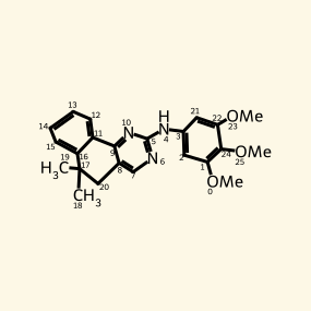 COc1cc(Nc2ncc3c(n2)-c2ccccc2C(C)(C)C3)cc(OC)c1OC